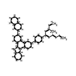 C=C/C=C/C=C(\C=C(/C)C=C)c1ccc(-c2ccc3c(c2)c2cc(-c4ccc5ccccc5c4)ccc2c2nc4ccccc4n32)cc1